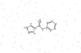 O=C(Cc1ccccc1)c1ccsc1